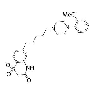 COc1ccccc1N1CCN(CCCCCc2ccc3c(c2)NC(=O)CS3(=O)=O)CC1